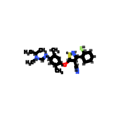 Cc1cc(Oc2snc(-c3ccccc3F)c2C#N)c(C)cc1N=CN(C)C(C)C